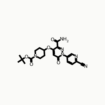 CC(C)(C)OC(=O)N1CCC(Oc2cc(=O)n(-c3ccc(C#N)nc3)nc2C(N)=O)CC1